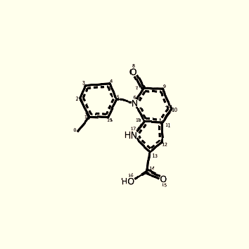 Cc1cccc(-n2c(=O)ccc3cc(C(=O)O)[nH]c32)c1